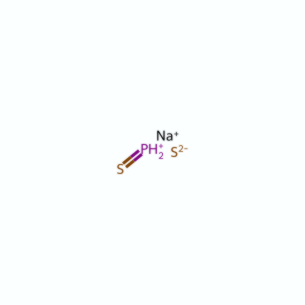 [Na+].[PH2+]=S.[S-2]